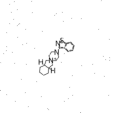 c1ccc2c(N3CC[N+]4(CC3)C[C@@H]3CCCC[C@H]3C4)nsc2c1